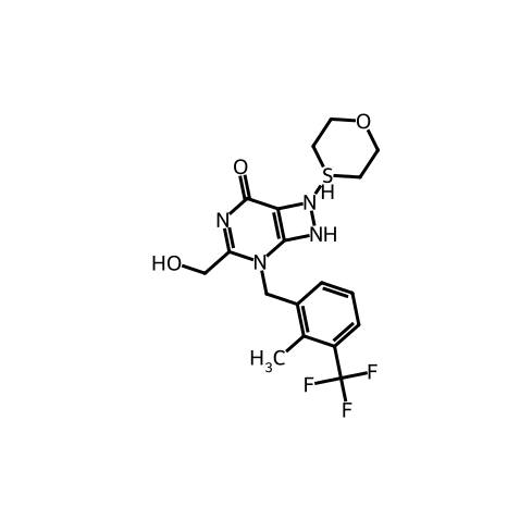 Cc1c(Cn2c(CO)nc(=O)c3c2[nH]n3[SH]2CCOCC2)cccc1C(F)(F)F